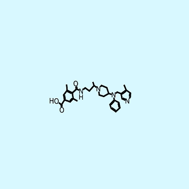 Cc1ccncc1CN(c1ccccc1)C1CCN(C(C)CCNC(=O)c2c(C)cc(C(=O)O)cc2C)CC1